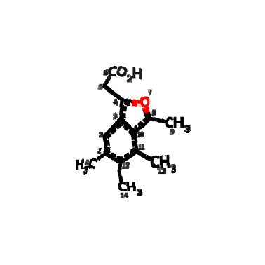 Cc1cc2c(CC(=O)O)oc(C)c2c(C)c1C